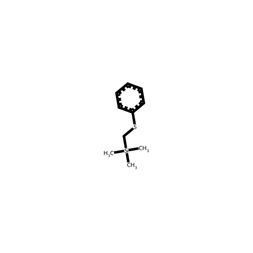 C[Si](C)(C)CSc1ccccc1